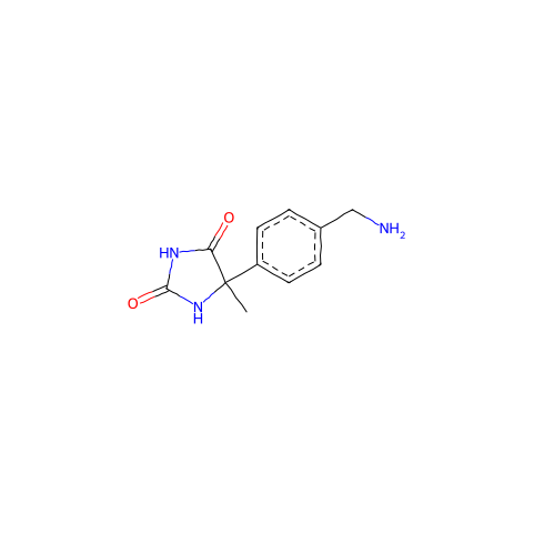 CC1(c2ccc(CN)cc2)NC(=O)NC1=O